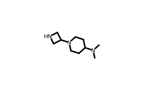 CN(C)C1CCN(C2CNC2)CC1